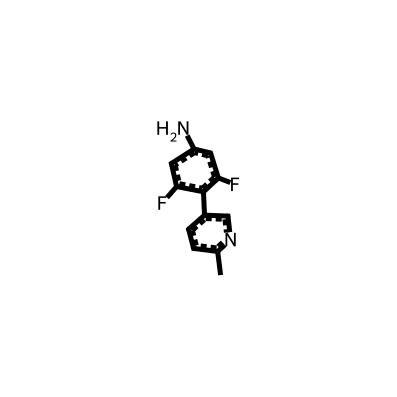 Cc1ccc(-c2c(F)cc(N)cc2F)cn1